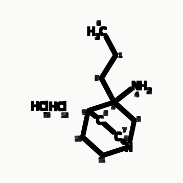 CCCC1(N)CN2CCC1CC2.Cl.Cl